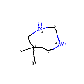 CC1(C)CNCNC1